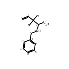 C=CC(C)(C)C(NCc1ccccc1)C(F)(F)F